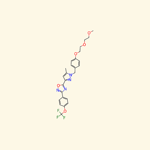 COCCOCCOc1ccc(Cn2nc(-c3nc(-c4ccc(OC(F)(F)F)cc4)no3)cc2C)cc1